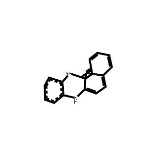 C1=CC2=CC=C3Nc4ccccc4[Se]C34C=CC=CC24C=C1